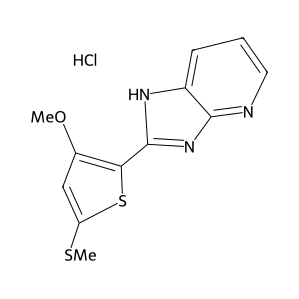 COc1cc(SC)sc1-c1nc2ncccc2[nH]1.Cl